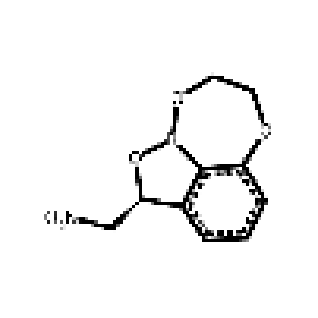 O=[N+]([O-])C[C@H]1OB2OCCOc3cccc1c32